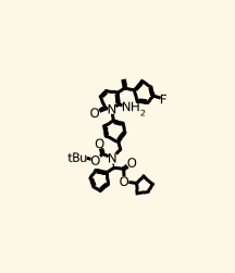 C=C(c1ccc(F)cc1)c1ccc(=O)n(-c2ccc(CN(C(=O)OC(C)(C)C)[C@H](C(=O)OC3CCCC3)c3ccccc3)cc2)c1N